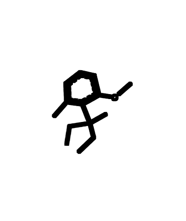 CCC(C)(CC)c1c(C)cccc1OC